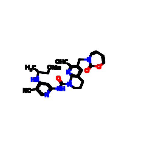 COCC(C)Nc1cc(NC(=O)N2CCCc3cc(CN4C=CC=COC4=O)c(C=O)nc32)ncc1C#N